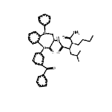 CCCC[C@H](C(N)=O)[C@@H](CC(C)C)C(=O)NC1CN(c2ccccc2)c2ccccc2N(c2cccc(C(=O)c3ccccc3)c2)C1=O